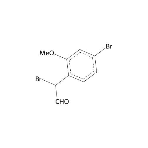 COc1cc(Br)ccc1C(Br)C=O